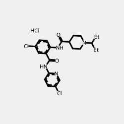 CCC(CC)N1CCC(C(=O)Nc2ccc(Cl)cc2C(=O)Nc2ccc(Cl)cn2)CC1.Cl